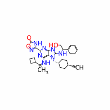 C#C[C@H]1CC[C@H](Cn2c(NC(CO)c3ccccc3)nc3nc(-c4noc(=O)[nH]4)nc(N[C@H](C)C4CCC4)c32)CC1